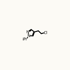 CC(C)n1cc(CCCl)cn1